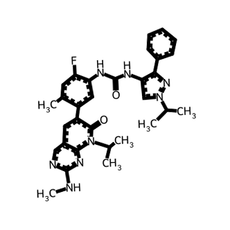 CNc1ncc2cc(-c3cc(NC(=O)Nc4cn(C(C)C)nc4-c4ccccc4)c(F)cc3C)c(=O)n(C(C)C)c2n1